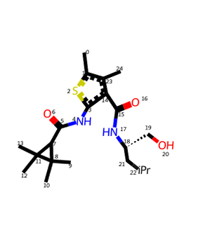 Cc1sc(NC(=O)C2C(C)(C)C2(C)C)c(C(=O)N[C@H](CO)CC(C)C)c1C